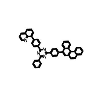 c1ccc(-c2nc(-c3ccc(-c4cc5ccc6ccccc6c5c5ccccc45)cc3)nc(-c3ccc(-c4cccc5cccnc45)cc3)n2)cc1